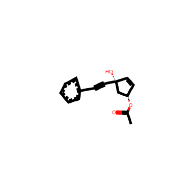 CC(=O)O[C@H]1C=C[C@](O)(C#Cc2ccccc2)C1